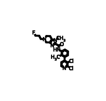 Cc1c(NC(=O)c2nc3c(n2C)CCN(CCCF)C3)cccc1-c1ccnc(Cl)c1Cl